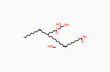 CCCCCCCC/C=C\CCCC(CCCCCCCC/C=C\CCCCCCCC(=O)O)CCCC(=O)OCC(O)CO.CCO